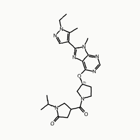 CCn1ncc(-c2nc3c(O[C@H]4CCN(C(=O)C5CC(=O)N(C(C)C)C5)C4)ncnc3n2C)c1C